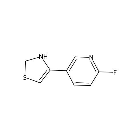 Fc1ccc(C2=CSCN2)cn1